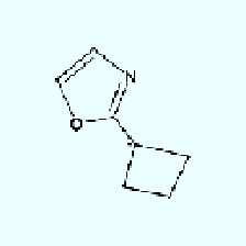 c1coc([C]2CCC2)n1